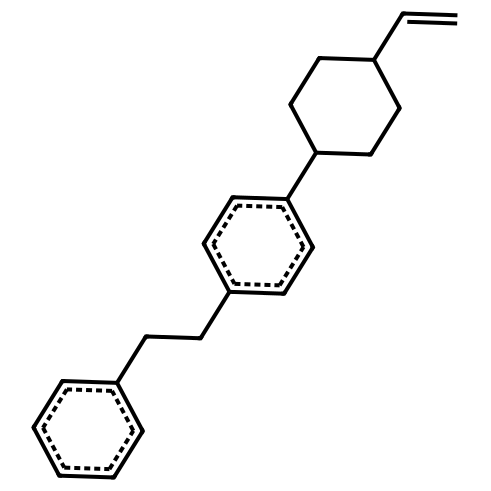 C=CC1CCC(c2ccc(CCc3ccccc3)cc2)CC1